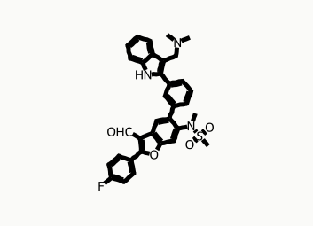 CN(C)Cc1c(-c2cccc(-c3cc4c(C=O)c(-c5ccc(F)cc5)oc4cc3N(C)S(C)(=O)=O)c2)[nH]c2ccccc12